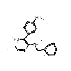 C/C=N\C(NCc1ccccc1)=C(/N)c1ccc(N)cc1